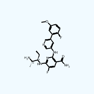 CC[C@@H](Nc1nc(Nc2cncc(-c3cc(OC)ccc3F)c2)c(C(N)=O)cc1F)[C@H](C)N